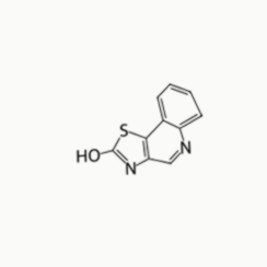 Oc1nc2cnc3ccccc3c2s1